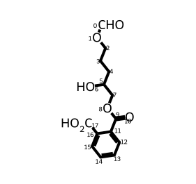 O=COCCCC(O)COC(=O)c1ccccc1C(=O)O